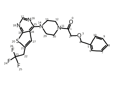 O=C(COCc1ccccc1)N1CCN(c2ncnc3sc(CC(F)(F)F)cc23)CC1